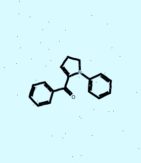 O=C(C1=CCCN1c1ccccc1)c1ccccc1